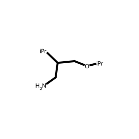 CC(C)OCC(CN)C(C)C